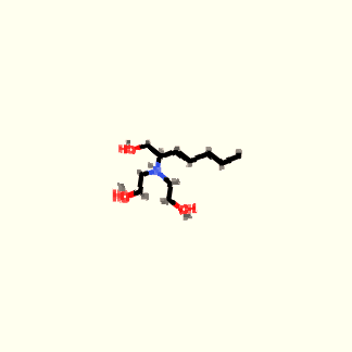 CCCCCC(CO)N(CCO)CCO